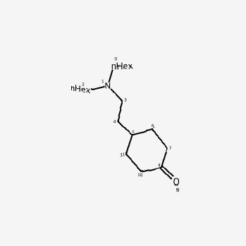 CCCCCCN(CCCCCC)CCC1CCC(=O)CC1